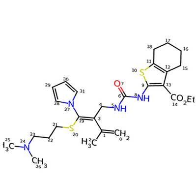 C=C(C)/C(CNC(=O)Nc1sc2c(c1C(=O)OCC)CCCC2)=C(\SCCCN(C)C)n1cccc1